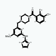 COc1cc(CN2CCN(C(=O)c3cccc(Cl)c3F)CC2)nc(Nc2nccs2)c1